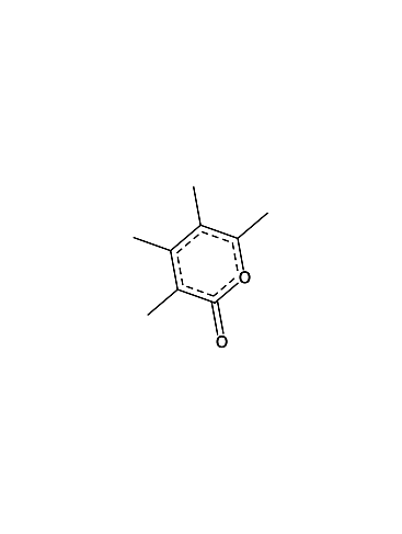 Cc1oc(=O)c(C)c(C)c1C